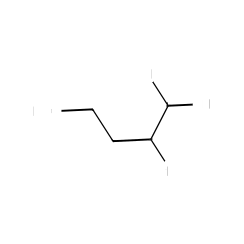 [3H][C]([3H])C([3H])CCC